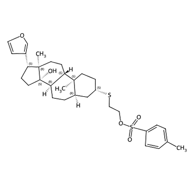 Cc1ccc(S(=O)(=O)OCCS[C@H]2CC[C@@]3(C)[C@H](CC[C@@H]4[C@@H]3CC[C@]3(C)[C@@H](c5ccoc5)CC[C@]43O)C2)cc1